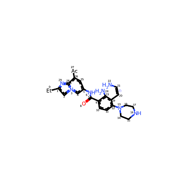 CCc1cn2cc(NC(=O)c3ccc(N4CCNCC4)c(/C=C\N)c3N)cc(C(C)=O)c2n1